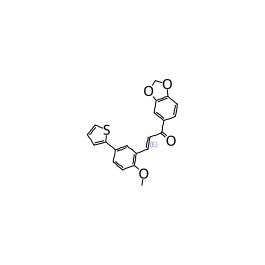 COc1ccc(-c2cccs2)cc1/C=C/C(=O)c1ccc2c(c1)OCO2